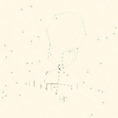 CC(=O)Oc1c2cc(C(C)(C)C)cc1CCCCC2